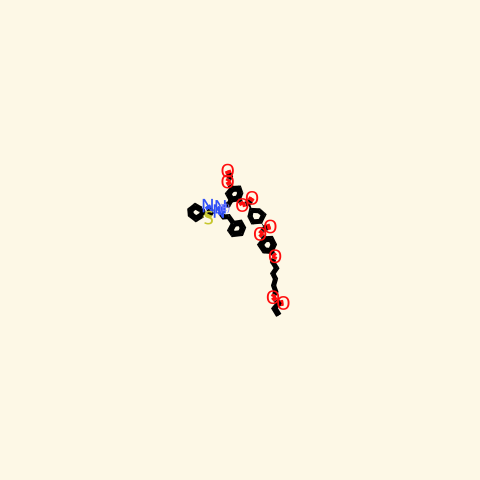 C=CC(=O)OCCCCCCOc1ccc(OC(=O)[C@H]2CC[C@H](C(=O)Oc3ccc(OC=O)cc3/C=N/N(CCc3ccccc3)c3nc4ccccc4s3)CC2)cc1